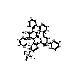 F[B-](F)(F)F.Oc1c(-c2ccccc2)cc(-[n+]2c(-c3ccccc3)cc(-c3ccccc3)cc2-c2ccccc2)cc1-c1ccccc1